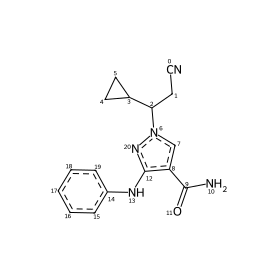 N#CCC(C1CC1)n1cc(C(N)=O)c(Nc2ccccc2)n1